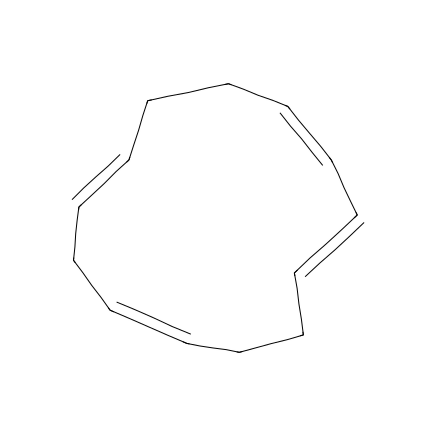 C1=C\CC/C=C/C/C=C\CC/C=C/1